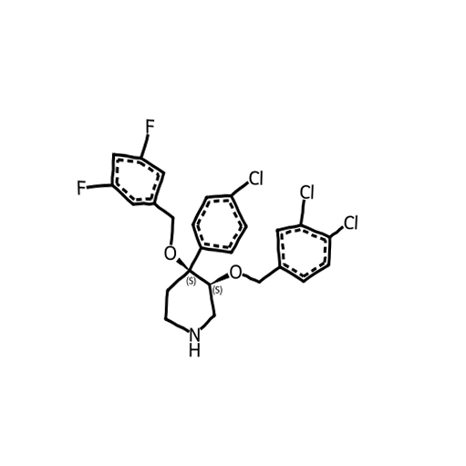 Fc1cc(F)cc(CO[C@]2(c3ccc(Cl)cc3)CCNC[C@@H]2OCc2ccc(Cl)c(Cl)c2)c1